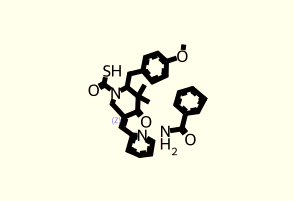 COc1ccc(CC2N(C(=O)S)C/C(=C/c3ccccn3)C(=O)C2(C)C)cc1.NC(=O)c1ccccc1